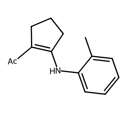 CC(=O)C1=C(Nc2ccccc2C)CCC1